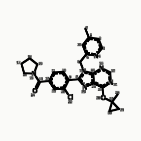 Cc1ccnc(Cn2c(-c3ccc(C(=O)N4CCCC4)cc3Cl)nc3c(OC4(C)CC4)ncnc32)c1